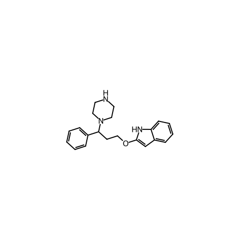 c1ccc(C(CCOc2cc3ccccc3[nH]2)N2CCNCC2)cc1